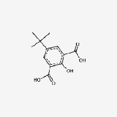 CC(C)(C)c1cc(C(=O)O)c(O)c(C(=O)O)c1